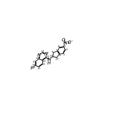 O=[N+]([O-])c1ccc2c(c1)CC(Nc1ncnc3cc(F)ccc13)C2